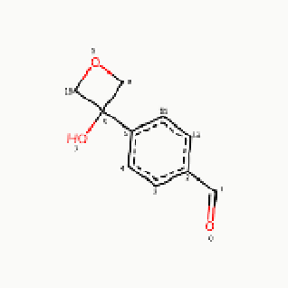 O=Cc1ccc(C2(O)COC2)cc1